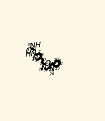 CNC(=O)CNc1ccc(C=CC(=O)N(C)Cc2cc3ccccc3n2C)cn1